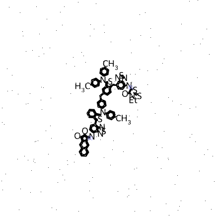 CCN1C(=O)/C(=N\c2ccc(-c3sc(N(c4ccc(C)cc4)c4ccc(C)cc4)c4cc(Cc5ccc(N(c6ccc(C)cc6)c6sc(-c7ccc(/N=c8\c(=O)c(=O)c9cc%10ccccc%10cc89)c8nsnc78)c7ccccc67)cc5)ccc34)c3nsnc23)SC1=S